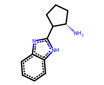 N[C@H]1CCCC1c1nc2ccccc2[nH]1